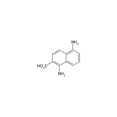 Nc1cccc2c(N)c(S(=O)(=O)O)ccc12